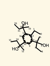 CCc1c(C(C)(O)CC)cc(C(C)(O)CC)cc1C(C)(O)CC